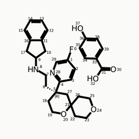 Fc1ccc([C@]2(CCNC3Cc4ccccc4C3)CCOC3(CCOCC3)C2)nc1.O=C(O)c1ccc(O)cc1